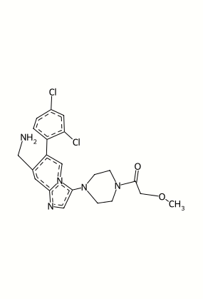 COCC(=O)N1CCN(c2cnc3cc(CN)c(-c4ccc(Cl)cc4Cl)cn23)CC1